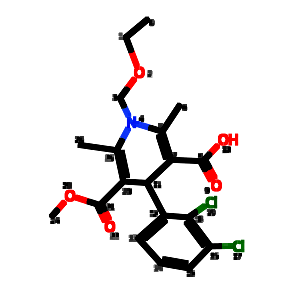 CCOCN1C(C)=C(C(=O)O)C(c2cccc(Cl)c2Cl)C(C(=O)OC)=C1C